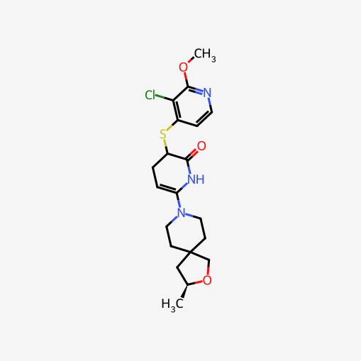 COc1nccc(SC2CC=C(N3CCC4(CC3)CO[C@@H](C)C4)NC2=O)c1Cl